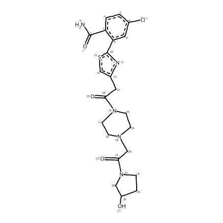 NC(=O)c1ccc(Cl)cc1-c1nc(CC(=O)N2CCN(CC(=O)N3CCC(O)C3)CC2)cs1